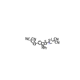 C/C=C(\SC(C)C=C(C#N)C#N)c1cc2c(s1)c1ccc(-c3ccc(C=C(C#N)C#N)s3)cc1n2CCC